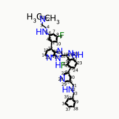 CN(C)CCNc1cc(F)cc(-c2ccnc3[nH]c(-c4n[nH]c5ccc(-c6cncc(CNCc7ccccc7)c6)c(F)c45)nc23)c1